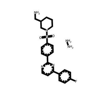 NCC1CCCN(S(=O)(=O)c2ccc(-c3nccc(-c4ccc(F)cc4)n3)cc2)C1.NN